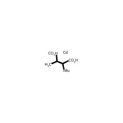 CCCCC(C(=O)O)C(C)C(=O)O.[Cd]